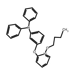 CCCCO[n+]1ccccc1Oc1cccc(N(c2ccccc2)c2ccccc2)c1